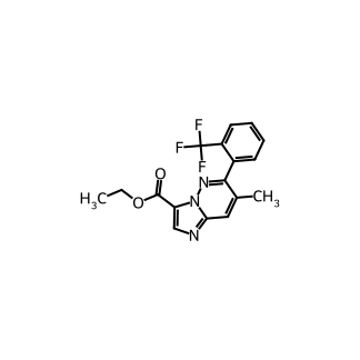 CCOC(=O)c1cnc2cc(C)c(-c3ccccc3C(F)(F)F)nn12